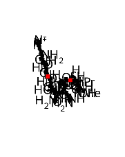 CNC(=O)[C@H](CO)NC(=O)[C@H](CC(C)C)NC(=O)[C@H](CS)NC(=O)[C@@H]1CCCN1C(=O)[C@H](CCCNC(=N)N)NC(=O)[C@H](CCC(N)=O)NC(=O)[C@H](CO)NC(=O)CNC(=O)CNC(=O)CNC(=O)CNC(=O)[C@@H](N)CCCCN=[N+]=[N-]